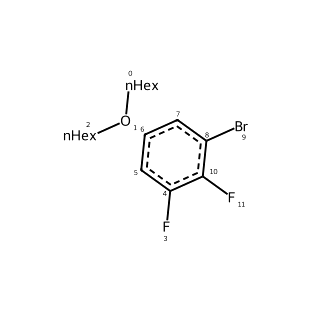 CCCCCCOCCCCCC.Fc1cccc(Br)c1F